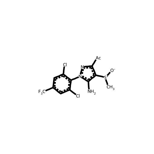 CC(=O)c1nn(-c2c(Cl)cc(C(F)(F)F)cc2Cl)c(N)c1[S+](C)[O-]